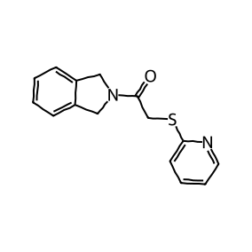 O=C(CSc1ccccn1)N1Cc2ccccc2C1